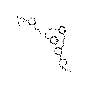 COc1cccc(CN(Cc2cccc(N3CCN(C)CC3)c2)c2ccc(COCCOc3cccc(N(C)C)c3)cc2)c1